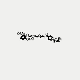 CCC(C)(C)OC(C)N1CCC(C(=O)OCCOCCOCCOc2c(OC)cccc2OC)CC1